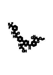 CCOC(=O)/N=[SH](=O)\c1cccc(Nc2ncc(-c3ccc(NC(=O)Nc4cccc(C(F)(F)F)c4)cc3)c(NC(C)CO)n2)c1